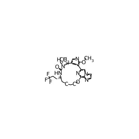 CCN1C(=O)N[C@@H](CCC(F)(F)F)CCCCOc2nc(cn3ccnc23)-c2cc(cnc2OC)[C@H]1C